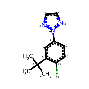 CC(C)(C)c1cc(-n2nccn2)ccc1F